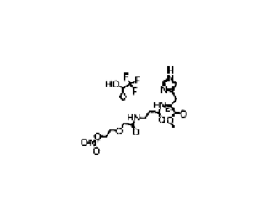 COC(=O)[C@H](Cc1c[nH]cn1)NC(=O)CCNC(=O)COCCO[N+](=O)[O-].O=C(O)C(F)(F)F